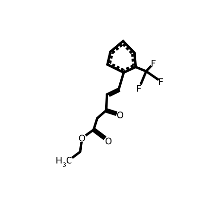 CCOC(=O)CC(=O)C=Cc1ccccc1C(F)(F)F